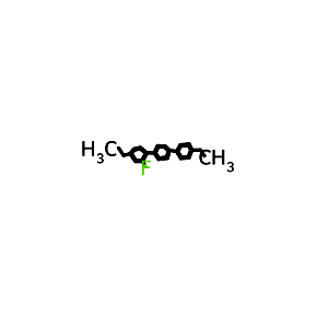 CCCc1ccc(-c2ccc(-c3ccc(CC)cc3)cc2)c(F)c1